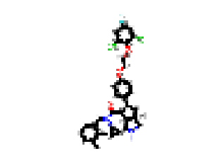 Cc1cccc(CN(C(=O)C2C(c3ccc(OCCOc4c(Cl)cc(F)cc4Cl)cc3)C[C@@H]3CNCC23)C2CC2)c1C